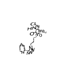 CCCCn1c(=O)n(CCCCn2nnnc2-c2ccccn2)c(=O)c2[nH]c(Cl)nc21